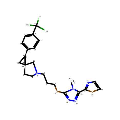 Cn1c(SCCCN2CC[C@]3(C[C@H]3c3ccc(C(F)(F)F)cc3)C2)nnc1-c1nccs1